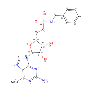 COc1nc(N)nc2c1ncn2[C@@H]1O[C@H](COP(=O)(O)NCc2ccccc2)[C@H](O)[C@@H]1O